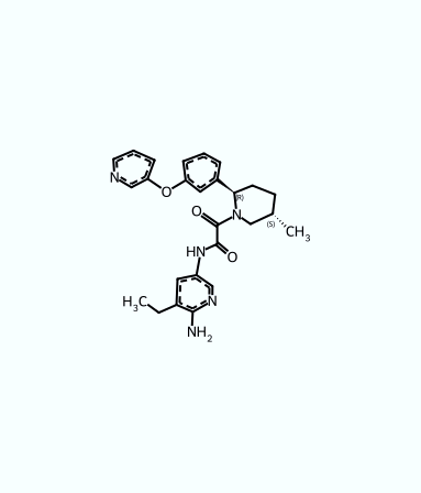 CCc1cc(NC(=O)C(=O)N2C[C@@H](C)CC[C@@H]2c2cccc(Oc3cccnc3)c2)cnc1N